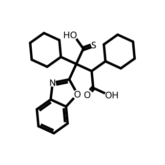 O=C(O)C(C1CCCCC1)C(C(O)=S)(c1nc2ccccc2o1)C1CCCCC1